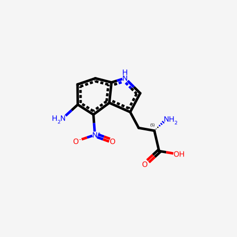 Nc1ccc2[nH]cc(C[C@H](N)C(=O)O)c2c1[N+](=O)[O-]